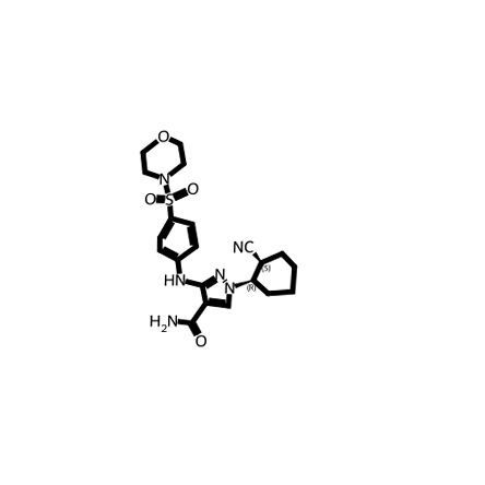 N#C[C@H]1CCCC[C@H]1n1cc(C(N)=O)c(Nc2ccc(S(=O)(=O)N3CCOCC3)cc2)n1